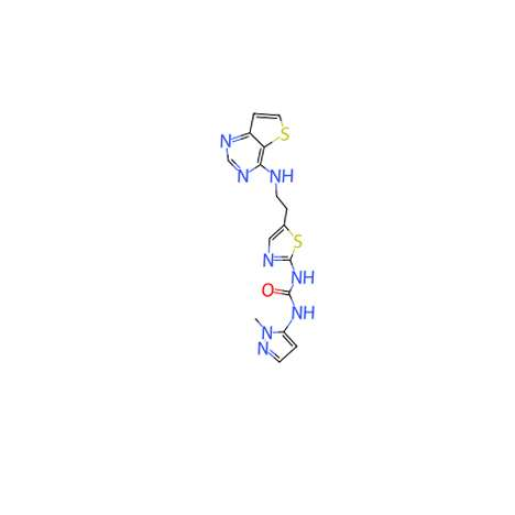 Cn1nccc1NC(=O)Nc1ncc(CCNc2ncnc3ccsc23)s1